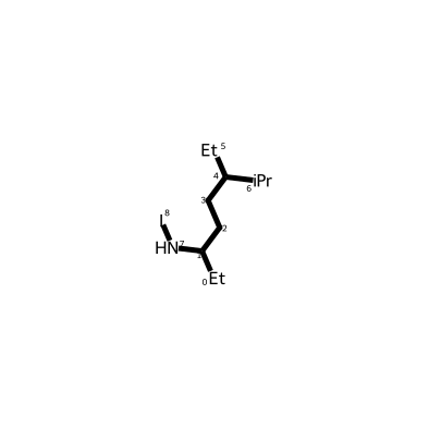 CCC(CCC(CC)C(C)C)NI